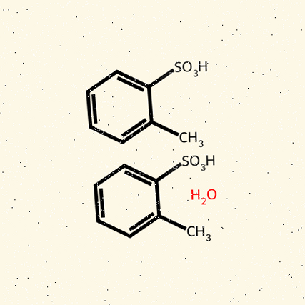 Cc1ccccc1S(=O)(=O)O.Cc1ccccc1S(=O)(=O)O.O